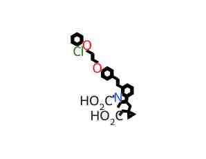 Cc1c(CC2(CC(=O)O)CC2)c2cccc(C=Cc3ccc(OC/C=C/COc4ccccc4Cl)cc3)c2n1CC(=O)O